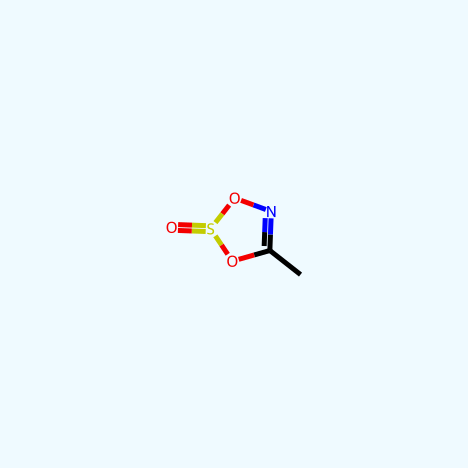 CC1=NOS(=O)O1